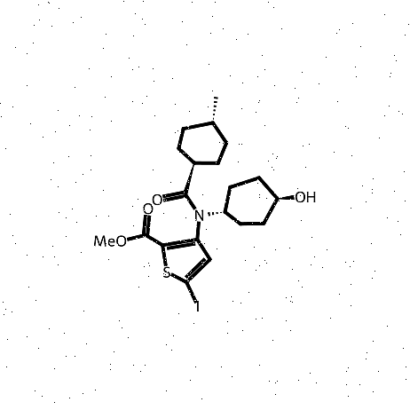 COC(=O)c1sc(I)cc1N(C(=O)[C@H]1CC[C@H](C)CC1)[C@H]1CC[C@H](O)CC1